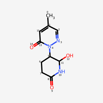 Cc1cnn(C2CCC(=O)NC2O)c(=O)c1